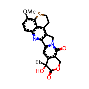 CCC1(O)C(=O)OCc2c1cc1n(c2=O)Cc2c-1nc1ccc(OC)c3c1c2CCS3